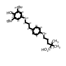 CC(C)(CCCOc1ccc(CCCSc2cc(C(C)(C)C)c(O)c(C(C)(C)C)c2)cc1)C(=O)O